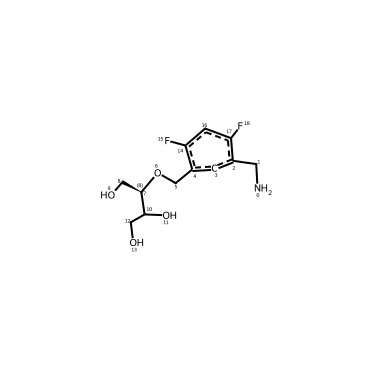 NCc1cc(CO[C@H](CO)C(O)CO)c(F)cc1F